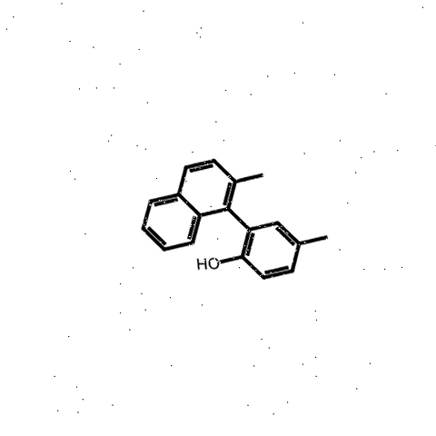 Cc1ccc(O)c(-c2c(C)ccc3ccccc23)c1